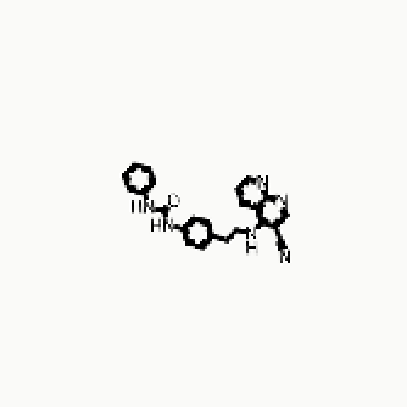 N#Cc1cnc2ncccc2c1NCCc1ccc(NC(=O)Nc2ccccc2)cc1